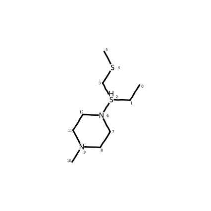 CC[SH](CSC)N1CCN(C)CC1